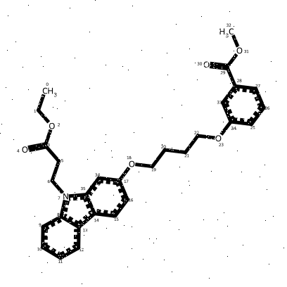 CCOC(=O)CCn1c2ccccc2c2ccc(OCCCCOc3cccc(C(=O)OC)c3)cc21